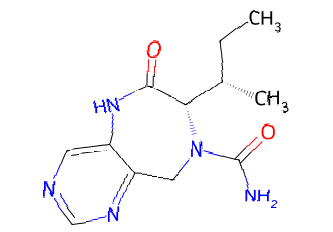 CC[C@H](C)[C@H]1C(=O)Nc2cncnc2CN1C(N)=O